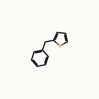 [c]1ccccc1Cc1cccs1